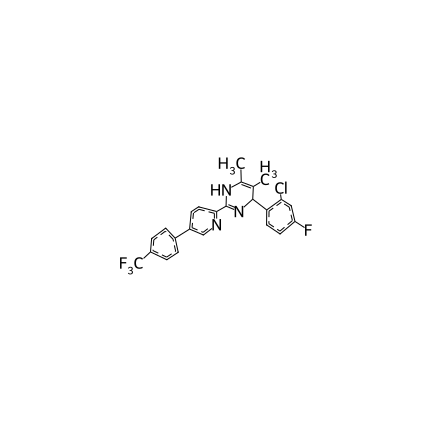 CC1=C(C)C(c2ccc(F)cc2Cl)N=C(c2ccc(-c3ccc(C(F)(F)F)cc3)cn2)N1